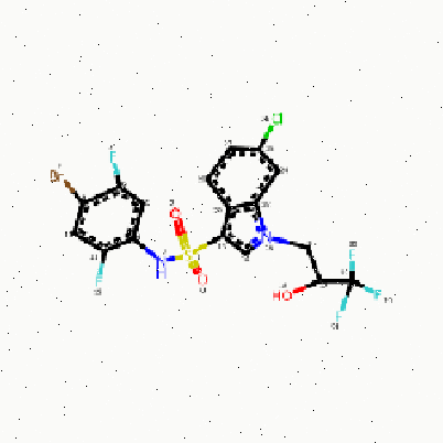 O=S(=O)(Nc1cc(F)c(Br)cc1F)c1cn(CC(O)C(F)(F)F)c2cc(Cl)ccc12